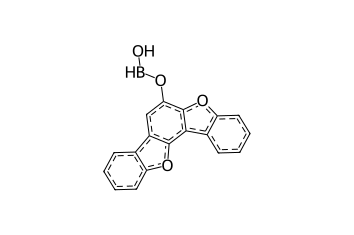 OBOc1cc2c3ccccc3oc2c2c1oc1ccccc12